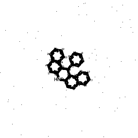 c1ccc(C2c3c(ccc4ccccc34)Nc3ccc4ccccc4c32)cc1